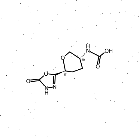 O=C(O)N[C@@H]1CC[C@@H](c2n[nH]c(=O)o2)OC1